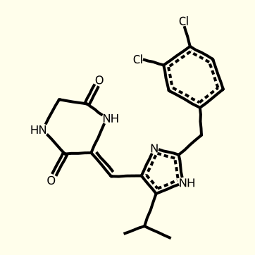 CC(C)c1[nH]c(Cc2ccc(Cl)c(Cl)c2)nc1C=C1NC(=O)CNC1=O